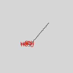 CCCCCCCCCCCCCCCCCCCCCCCCCCCC(=O)C(CC)C(O)CP(O)(O)(O)CC